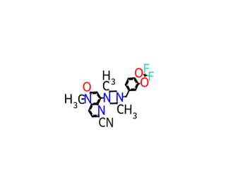 C[C@@H]1CN(c2cc(=O)n(C)c3ccc(C#N)nc23)[C@@H](C)CN1Cc1ccc2c(c1)OC(F)(F)O2